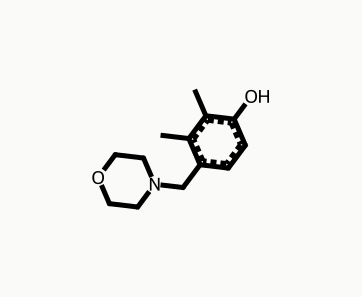 Cc1c(O)ccc(CN2CCOCC2)c1C